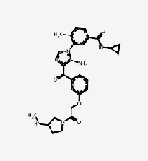 CNC1CCN(C(=O)COc2cccc(C(=O)c3ncn(-c4cc(C(=O)NC5CC5)ccc4C)c3N)c2)C1